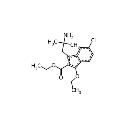 CCOC(=O)c1c(OCC)c2ccc(Cl)cc2n1CC(C)(C)N